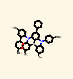 CC(C)(C)c1ccc(-c2cc(C(C)(C)C)ccc2N2c3ccc(C(C)(C)C)cc3B3c4cc(C(C)(C)C)ccc4N(c4ccc(C(C)(C)C)cc4)c4cc(-c5ccccc5)cc2c43)cc1